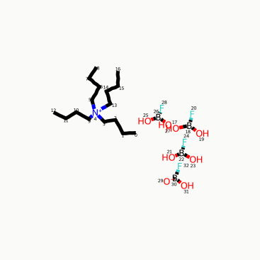 CCCC[N+](CCCC)(CCCC)CCCC.OB(O)F.OB(O)F.OB(O)F.[O-]B(O)F